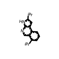 CC(C)c1cc2c(ncc3c(C(C)C)cccc32)[nH]1